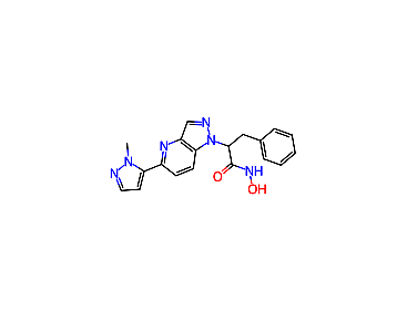 Cn1nccc1-c1ccc2c(cnn2C(Cc2ccccc2)C(=O)NO)n1